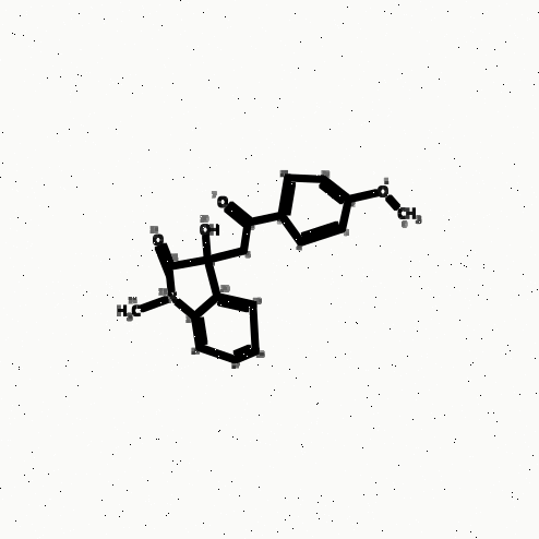 COc1ccc(C(=O)CC2(O)C(=O)N(C)c3ccccc32)cc1